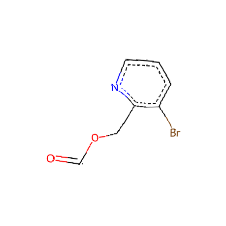 O=[C]OCc1ncccc1Br